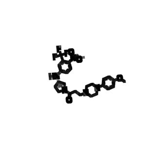 COc1ccc(N2CCN(CCC(=O)N3CC[C@H](Nc4ccc([N+](=O)[O-])c(C(F)(F)F)c4)C3)CC2)cc1